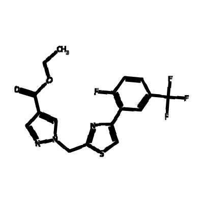 CCOC(=O)c1cnn(Cc2nc(-c3cc(C(F)(F)F)ccc3F)cs2)c1